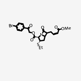 CCS[C@H]1CC2C(C/C=C\C(=O)OC)C(=O)N2[C@@H]1C(=O)OCC(=O)c1ccc(Br)cc1